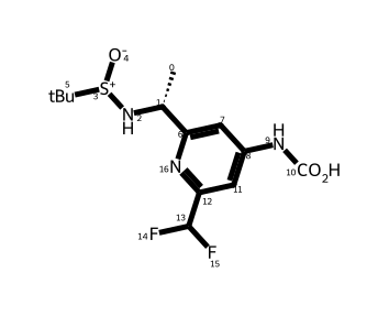 C[C@@H](N[S+]([O-])C(C)(C)C)c1cc(NC(=O)O)cc(C(F)F)n1